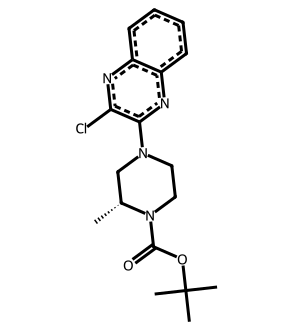 C[C@@H]1CN(c2nc3ccccc3nc2Cl)CCN1C(=O)OC(C)(C)C